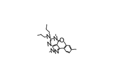 CCCN(CCC)c1nc2c(c(-c3ccc(C)cc3C)nn2C)c(=O)n1C